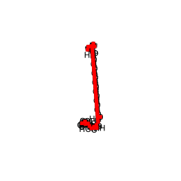 O=C(COCCOCCOCCOCCOCCOCCOCCOCCOCCOCCOCCOCCOCCNC(=O)OCC1c2ccccc2-c2ccccc21)NCC#Cc1cn(C2CC(O)C(COP(=O)(O)OP(=O)(O)OP(=O)(O)O)O2)c(=O)[nH]c1=O